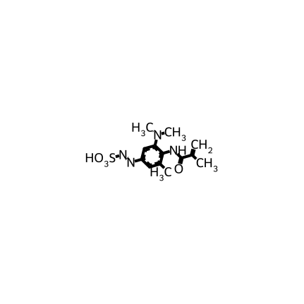 C=C(C)C(=O)Nc1c(C)cc(/N=N/S(=O)(=O)O)cc1N(C)C